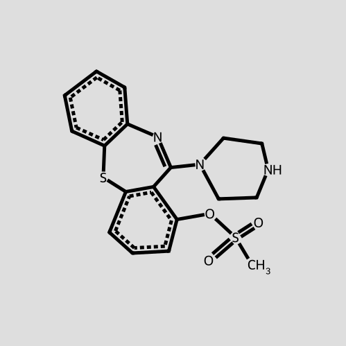 CS(=O)(=O)Oc1cccc2c1C(N1CCNCC1)=Nc1ccccc1S2